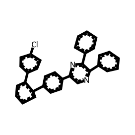 Clc1ccc(-c2ccccc2-c2ccc(-c3cnc(-c4ccccc4)c(-c4ccccc4)n3)cc2)cc1